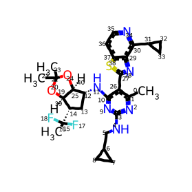 Cc1nc(NCC2CC2)nc(N[C@@H]2C[C@H](C(C)(F)F)[C@H]3OC(C)(C)O[C@H]32)c1-c1nc2c(C3CC3)nccc2s1